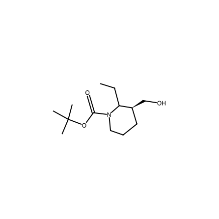 CCC1[C@@H](CO)CCCN1C(=O)OC(C)(C)C